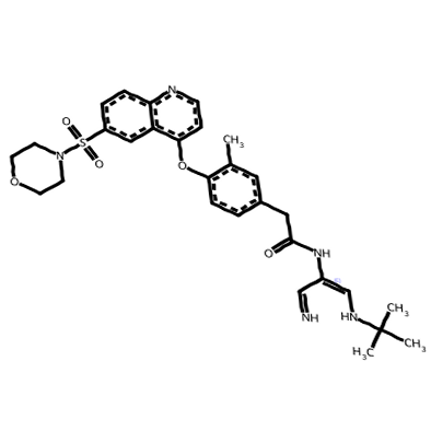 Cc1cc(CC(=O)N/C(C=N)=C/NC(C)(C)C)ccc1Oc1ccnc2ccc(S(=O)(=O)N3CCOCC3)cc12